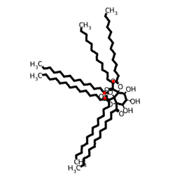 CCCCCCCCCCCCCC(=O)O[C@@]1(C(=O)CCCCCCCCCCCCC)[C@@](OC(=O)CCCCCCCCCCCCC)(C(=O)CCCCCCCCCCCCC)[C@@H](O)[C@H](O)[C@@H](O)[C@@]1(OC(=O)CCCCCCCCCCCCC)C(=O)CCCCCCCCCCCCC